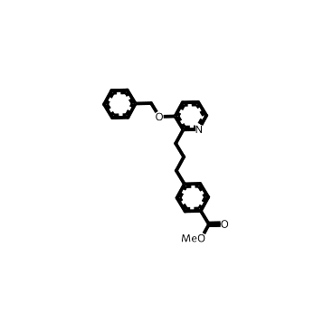 COC(=O)c1ccc(CCCc2ncccc2OCc2ccccc2)cc1